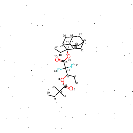 CCC(OC(=O)C(C)(C)CC)C(F)(F)C(=O)OC1(CC)C2CC3CC(C2)CC1C3